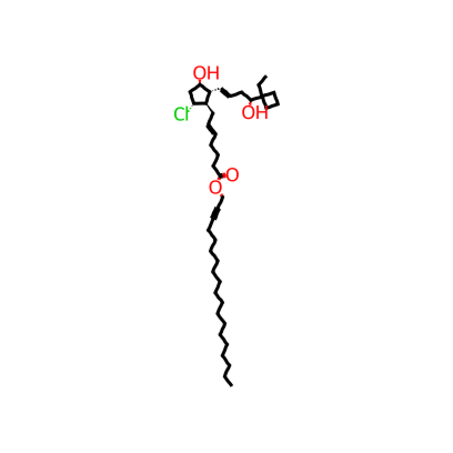 CCCCCCCCCCCCCCCCC#CCOC(=O)CCCC=CC[C@@H]1[C@@H](C=CC[C@H](O)C2(CC)CCC2)[C@H](O)C[C@H]1Cl